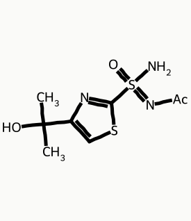 CC(=O)N=S(N)(=O)c1nc(C(C)(C)O)cs1